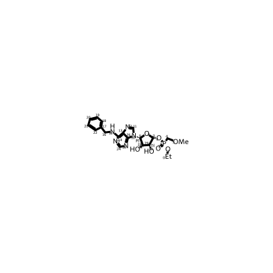 CCOP(=O)(COC)O[C@H]1O[C@@H](n2cnc3c(NCc4ccccc4)ncnc32)[C@H](O)[C@@H]1O